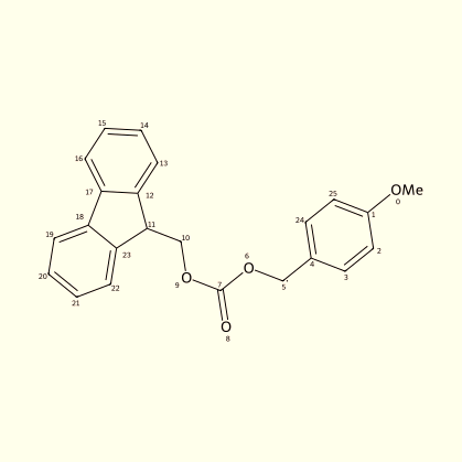 COc1ccc([CH]OC(=O)OCC2c3ccccc3-c3ccccc32)cc1